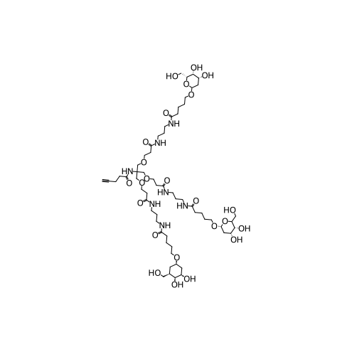 C#CCCC(=O)NC(COCCC(=O)NCCCNC(=O)CCCCOC1C[C@@H](O)[C@@H](O)[C@@H](CO)O1)(COCCC(=O)NCCCNC(=O)CCCCO[C@@H]1C[C@H](CO)[C@H](O)[C@H](O)C1)COCCC(=O)NCCCNC(=O)CCCCO[C@H]1C[C@@H](O)[C@@H](O)C(CO)O1